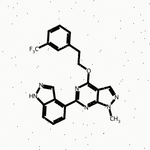 Cn1ncc2c(OCCc3cccc(C(F)(F)F)c3)nc(-c3cccc4[nH]ncc34)nc21